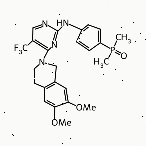 COc1cc2c(cc1OC)CN(c1nc(Nc3ccc(P(C)(C)=O)cc3)ncc1C(F)(F)F)CC2